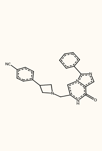 N#Cc1ccc(C2CN(Cc3cn4c(-c5ccccc5)ncc4c(=O)[nH]3)C2)cc1